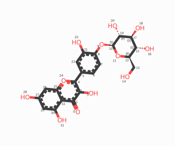 O=c1c(O)c(-c2ccc(O[C@@H]3O[C@H](CO)[C@@H](O)[C@H](O)[C@H]3O)c(O)c2)oc2cc(O)cc(O)c12